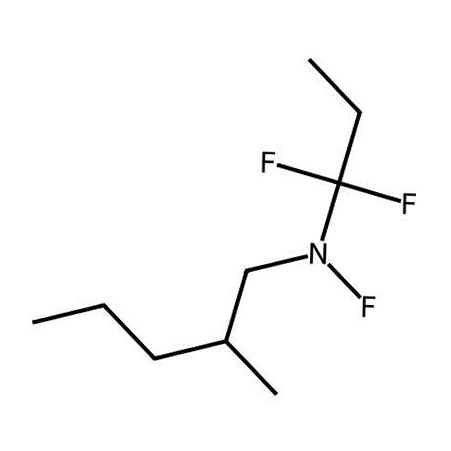 CCCC(C)CN(F)C(F)(F)CC